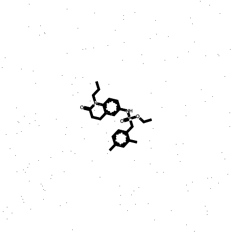 CCCN1C(=O)CCc2cc(NP(=O)(Cc3ccc(C)cc3C)OCC)ccc21